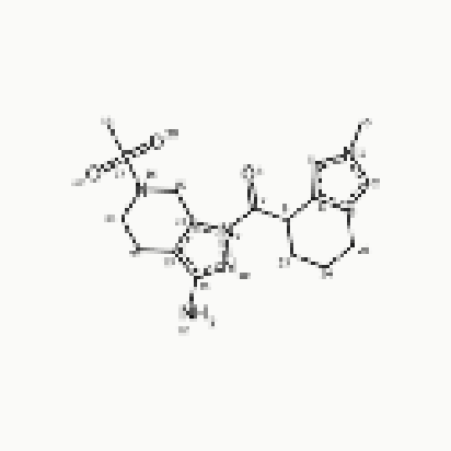 Cn1cc2c(c1)C(C(=O)n1nc(N)c3c1CN(S(C)(=O)=O)CC3)CCC2